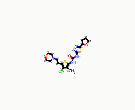 Cc1c(NC(=O)Nc2nnc(C3CCCO3)s2)sc(CCN2CCOCC2)c1Cl